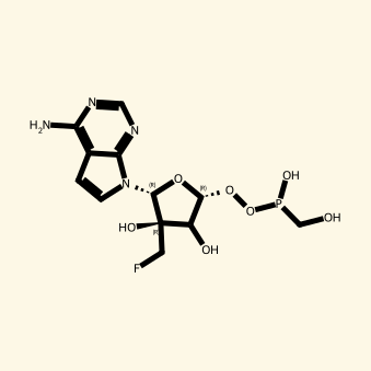 Nc1ncnc2c1ccn2[C@@H]1O[C@H](OOP(O)CO)C(O)[C@]1(O)CF